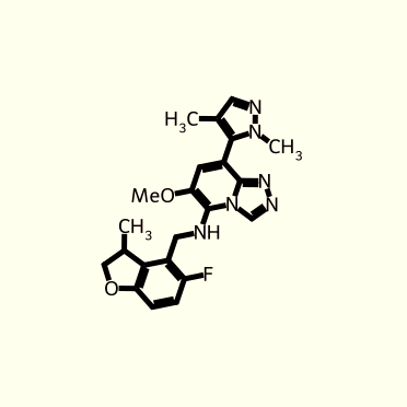 COc1cc(-c2c(C)cnn2C)c2nncn2c1NCc1c(F)ccc2c1C(C)CO2